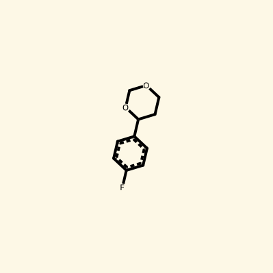 Fc1ccc(C2CCOCO2)cc1